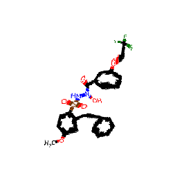 COc1ccc(S(=O)(=O)NN(O)C(=O)c2cccc(OCC(F)(F)F)c2)c(Cc2ccccc2)c1